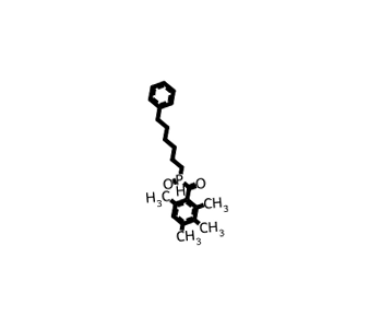 Cc1cc(C)c(C(=O)[PH](=O)CCCCCCc2ccccc2)c(C)c1C